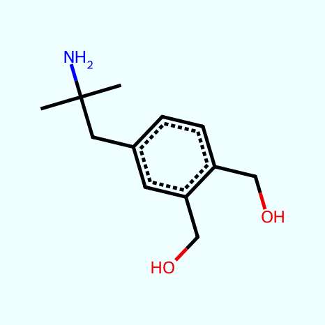 CC(C)(N)Cc1ccc(CO)c(CO)c1